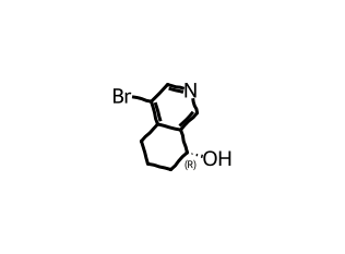 O[C@@H]1CCCc2c(Br)cncc21